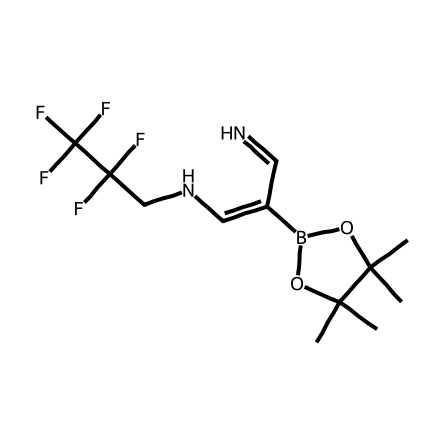 CC1(C)OB(/C(C=N)=C/NCC(F)(F)C(F)(F)F)OC1(C)C